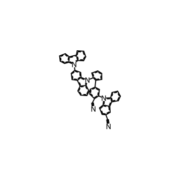 N#Cc1ccc2c(c1)c1ccccc1n2-c1cc(-c2ccccc2-n2c3ccccc3c3ccc(-n4c5ccccc5c5ccccc54)cc32)ccc1C#N